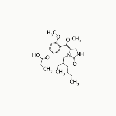 CCC(=O)O.CCCCC(CC)CN1C(=O)NCC1=C(OC)c1ccccc1OC